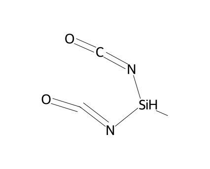 C[SiH](N=C=O)N=C=O